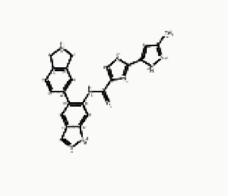 Cc1cc(-c2nc(C(=O)Nc3cc4[nH]ncc4cc3-c3ccc4c(c3)CNC4)cs2)[nH]n1